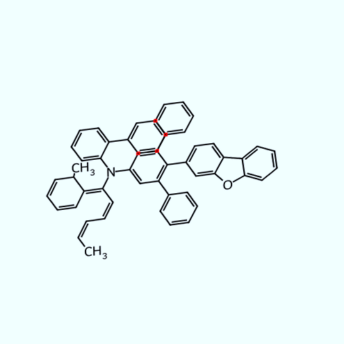 C\C=C/C=C\C(=C1/C=CC=CC1C)N(c1cc(-c2ccccc2)c(-c2ccc3c(c2)oc2ccccc23)c(-c2ccccc2)c1)c1ccccc1-c1ccccc1